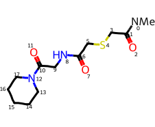 CNC(=O)CSCC(=O)NCC(=O)N1CCCCC1